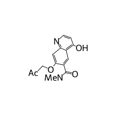 CNC(=O)c1cc2c(O)ccnc2cc1OCC(C)=O